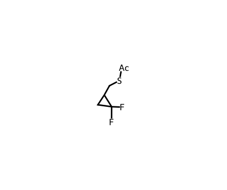 CC(=O)SCC1CC1(F)F